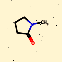 CN1C[CH]CC1=O